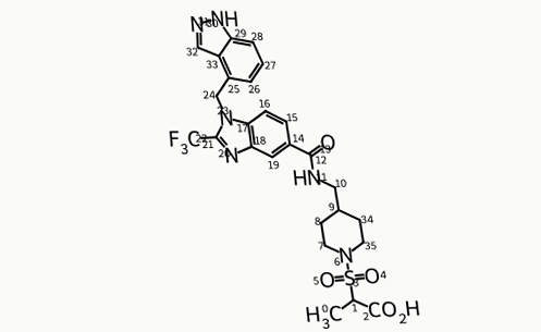 CC(C(=O)O)S(=O)(=O)N1CCC(CNC(=O)c2ccc3c(c2)nc(C(F)(F)F)n3Cc2cccc3[nH]ncc23)CC1